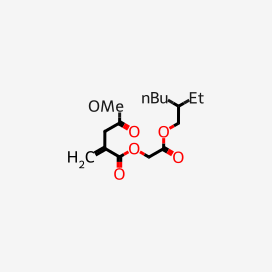 C=C(CC(=O)OC)C(=O)OCC(=O)OCC(CC)CCCC